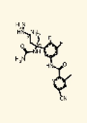 Cc1cc(C#N)cnc1C(=O)Nc1cc(F)c(F)c([C@@](CF)(C[C@H](N)NN)NC(N)=O)c1